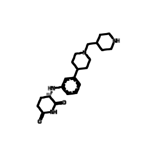 O=C1CC[C@H](Nc2cccc(C3CCN(CC4CCNCC4)CC3)c2)C(=O)N1